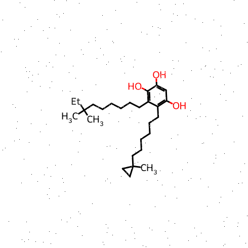 CCC(C)(C)CCCCCCc1c(O)c(O)cc(O)c1CCCCCCC1(C)CC1